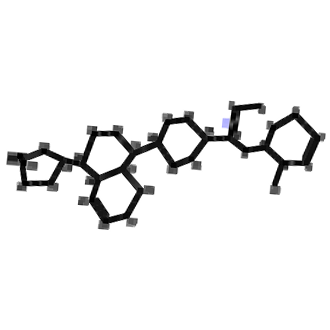 C/C=C(\CC1CCC=CC1C)C1CCC(C2CCC(C3CCNC3)C3C=CCCC32)CC1